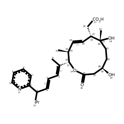 C/C(=C\C=C\C(c1ccccn1)C(C)C)[C@H]1OC(=O)C[C@H](O)CC[C@@](C)(O)[C@@H](CC(=O)O)/C=C/[C@@H]1C